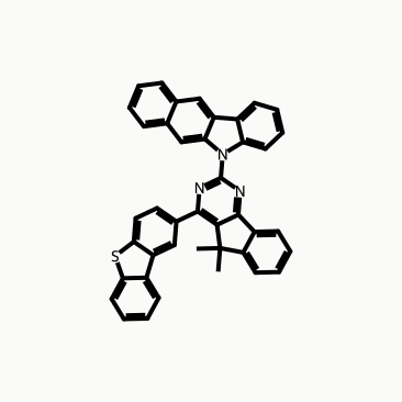 CC1(C)c2ccccc2-c2nc(-n3c4ccccc4c4cc5ccccc5cc43)nc(-c3ccc4sc5ccccc5c4c3)c21